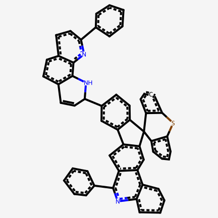 C1=CC(c2ccc3c(c2)-c2cc4c(-c5ccccc5)nc5ccccc5c4cc2C32c3ccccc3Sc3ccccc32)Nc2c1ccc1ccc(-c3ccccc3)nc21